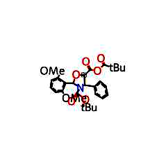 COc1cccc(OC)c1C1O[C@@H](C(=O)OC(=O)C(C)(C)C)C(c2ccccc2)N1C(=O)OC(C)(C)C